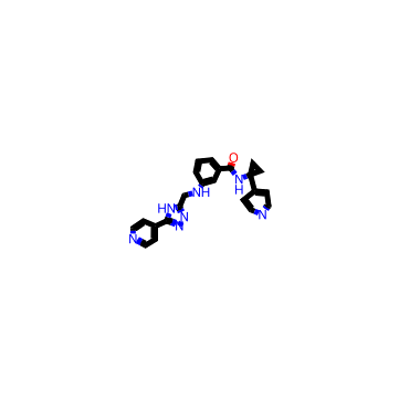 O=C(NC1(c2ccncc2)CC1)c1cccc(NCc2nnc(-c3ccncc3)[nH]2)c1